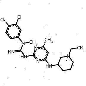 CCN1CCCC(Nc2cc(C)nc(NC(=N)N(C)c3ccc(Cl)c(Cl)c3)n2)C1